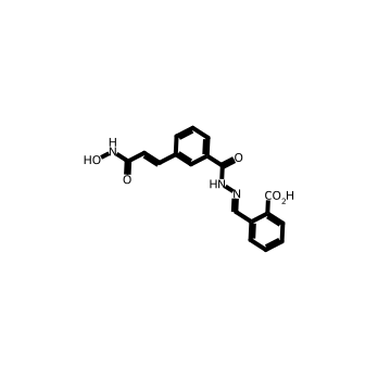 O=C(/C=C/c1cccc(C(=O)N/N=C/c2ccccc2C(=O)O)c1)NO